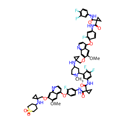 COc1cc2c(Oc3ccc(NC(=O)C4(C(=O)Nc5cc(F)c(F)c(C6CC(NC7(COc8cc9nccc(Oc%10ccc(NC(=O)C%11(C(=O)Nc%12ccc(F)c(F)c%12)CC%11)cc%10F)c9cc8OC)CC7)CCN6C)c5)CC4)cc3F)ccnc2cc1OCC1(NC2CCS(=O)(=O)CC2)CC1